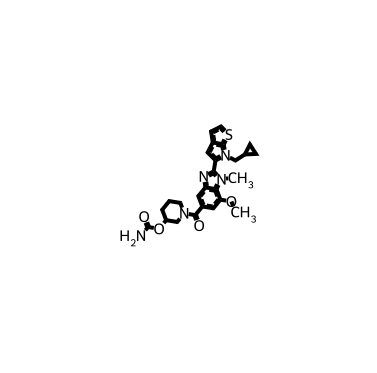 COc1cc(C(=O)N2CCCC(OC(N)=O)C2)cc2nc(-c3cc4ccsc4n3CC3CC3)n(C)c12